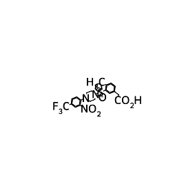 Cc1ccc(CC(=O)O)cc1S(=O)(=O)N1CCN(c2ccc(C(F)(F)F)cc2[N+](=O)[O-])CC1